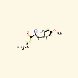 CC(C)(C)Oc1ccc(CC(N)C(=O)SCCC(=O)O)cc1